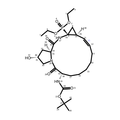 CCOP(=O)(OCC)[C@@]12C[C@H]1/C=C\CCCCC[C@H](NC(=O)OC(C)(C)C)C(=O)N1C[C@H](O)C[C@H]1C(=O)N2